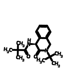 CC(C)(C)C(=O)N[C@@H]1C(=O)N(C(C)(C)C)Cc2ccccc21